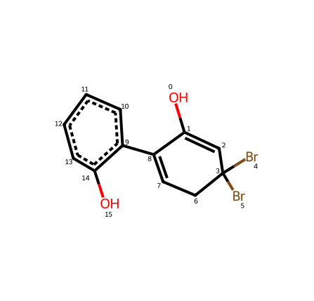 OC1=CC(Br)(Br)CC=C1c1ccccc1O